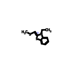 CCN1/C(=C/SC)Sc2ccccc21